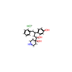 Cl.Oc1ccc(C(Cc2ccccc2)CC(O)C2(O)CCNCC2)cc1